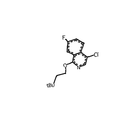 CC(C)(C)CCOc1ncc(Cl)c2ccc(F)cc12